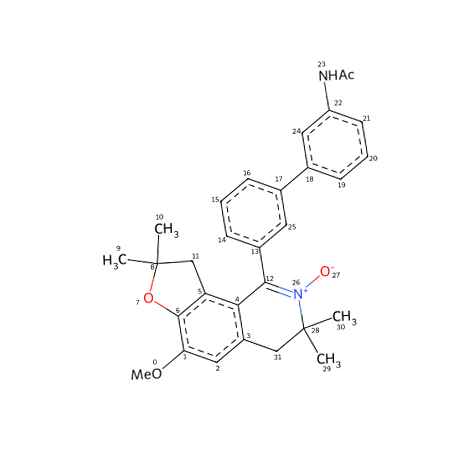 COc1cc2c(c3c1OC(C)(C)C3)C(c1cccc(-c3cccc(NC(C)=O)c3)c1)=[N+]([O-])C(C)(C)C2